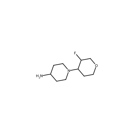 NC1CCN(C2CCOCC2F)CC1